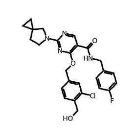 O=C(NCc1ccc(F)cc1)c1cnc(N2CCC3(CC3)C2)nc1OCc1ccc(CO)c(Cl)c1